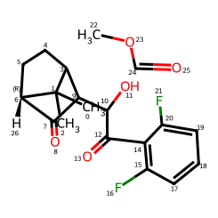 CC1(C)C2CC[C@H]1C(=O)C2C(O)C(=O)c1c(F)cccc1F.COC=O